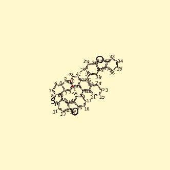 c1ccc2c(c1)ccc1sc3ccc4oc5ccc(-c6c7ccccc7c(-c7ccc8oc9ccccc9c8c7)c7ccccc67)cc5c4c3c12